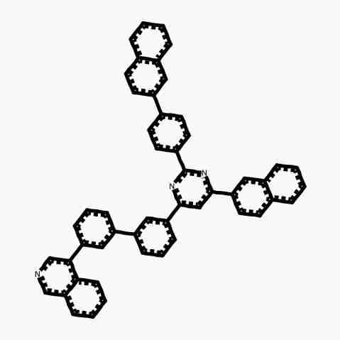 c1cc(-c2cccc(-c3cncc4ccccc34)c2)cc(-c2cc(-c3ccc4ccccc4c3)nc(-c3ccc(-c4ccc5ccccc5c4)cc3)n2)c1